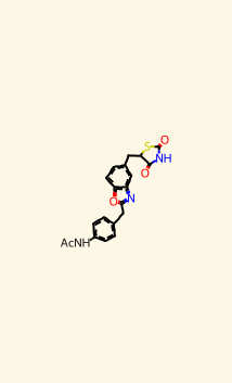 CC(=O)Nc1ccc(Cc2nc3cc(CC4SC(=O)NC4=O)ccc3o2)cc1